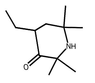 CCC1CC(C)(C)NC(C)(C)C1=O